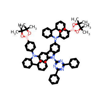 CC1(C)OB(c2ccc(N(c3ccc4c(c3)c3cc(N(c5ccc(B6OC(C)(C)C(C)(C)O6)cc5)c5ccccc5-c5ccccc5)ccc3n4-c3nc(-c4ccccc4)nc(-c4ccccc4)n3)c3ccccc3-c3ccccc3)cc2)OC1(C)C